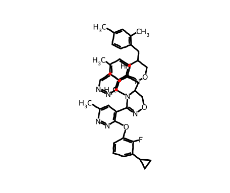 Cc1ccc(CC2CON=C(c3ccnnc3N3C(c4cc(C)nnc4Oc4cccc(C5CC5)c4F)=NOCC3Cc3ccc(C)cc3C)N2)c(C)c1